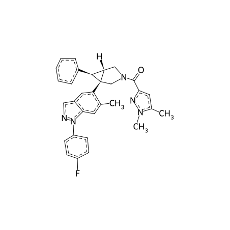 Cc1cc2c(cnn2-c2ccc(F)cc2)cc1[C@]12CN(C(=O)c3cc(C)n(C)n3)C[C@H]1[C@@H]2c1ccccc1